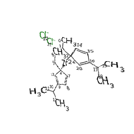 CC[C]1([Zr+2][C]2(CC)C=CC(C(C)C)=C2)C=CC(C(C)C)=C1.[Cl-].[Cl-]